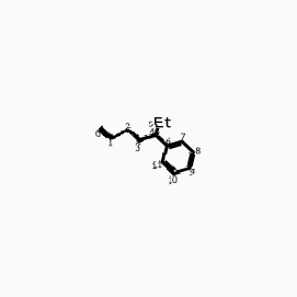 C=CCCC(CC)c1ccccc1